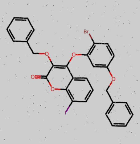 O=c1oc2c(I)cccc2c(Oc2cc(OCc3ccccc3)ccc2Br)c1OCc1ccccc1